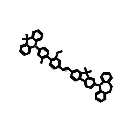 CCc1cc(/C=C/c2ccc3c(c2)C(C)(C)c2cc(N4c5ccccc5CCc5ccccc54)ccc2-3)ccc1-c1ccc(N2c3ccccc3C(C)(C)c3ccccc32)cc1C